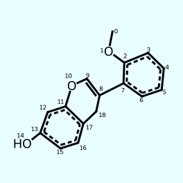 COc1ccccc1C1=COc2cc(O)ccc2C1